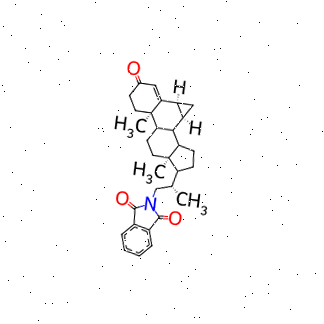 C[C@H](CN1C(=O)c2ccccc2C1=O)C1CCC2C3C(CC[C@@]21C)[C@@]1(C)CCC(=O)C=C1[C@H]1C[C@@H]31